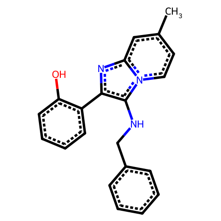 Cc1ccn2c(NCc3ccccc3)c(-c3ccccc3O)nc2c1